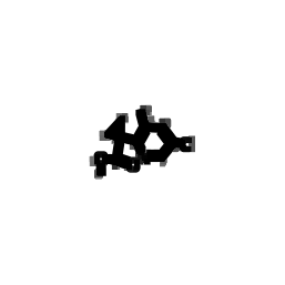 COC(=O)C1(c2ncc(Cl)cc2C)CC1